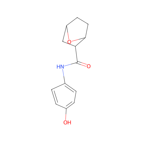 O=C(Nc1ccc(O)cc1)C1CC2CCC1O2